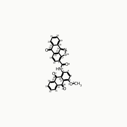 COc1ccc(NC(=O)c2ccc3c4c(nsc24)-c2ccccc2C3=O)c2c1C(=O)c1ccccc1C2=O